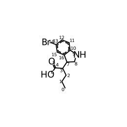 CCCC(C(=O)O)C1CNc2ccc(Br)cc21